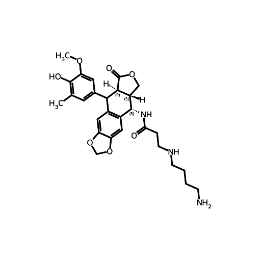 COc1cc(C2c3cc4c(cc3[C@@H](NC(=O)CCNCCCCN)[C@H]3COC(=O)[C@H]23)OCO4)cc(C)c1O